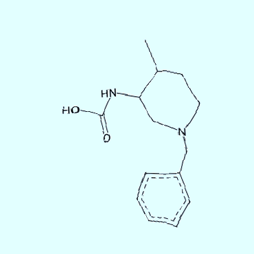 CC1CCN(Cc2ccccc2)CC1NC(=O)O